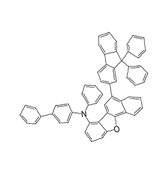 c1ccc(-c2ccc(N(c3ccccc3)c3cccc4oc5c6ccccc6c(-c6ccc7c(c6)C(c6ccccc6)(c6ccccc6)c6ccccc6-7)cc5c34)cc2)cc1